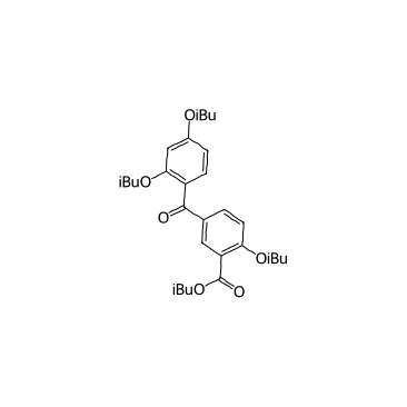 CC(C)COC(=O)c1cc(C(=O)c2ccc(OCC(C)C)cc2OCC(C)C)ccc1OCC(C)C